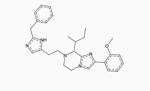 CCC(C)C1c2nc(-c3ccccc3OC)cn2CCN1CCc1cnc(Cc2ccccc2)[nH]1